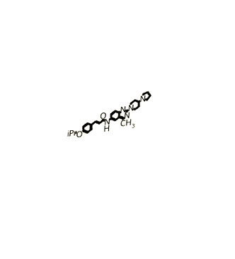 Cc1nc(N2CCC(N3CCCC3)CC2)nc2ccc(NC(=O)C=Cc3ccc(OC(C)C)cc3)cc12